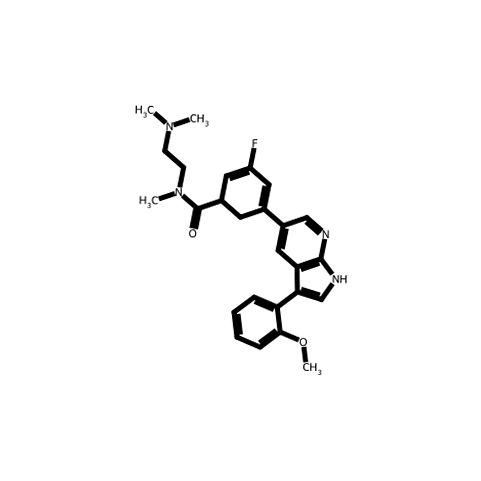 COc1ccccc1-c1c[nH]c2ncc(C3=CC(F)=CC(C(=O)N(C)CCN(C)C)C3)cc12